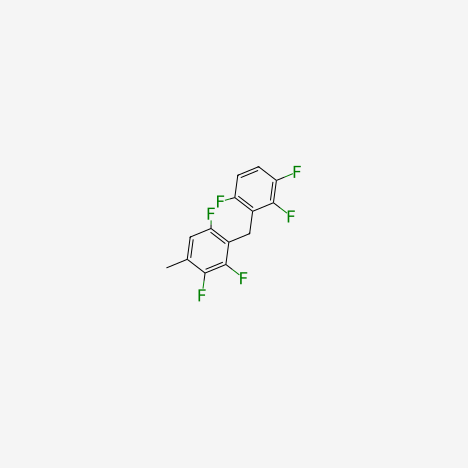 Cc1cc(F)c(Cc2c(F)ccc(F)c2F)c(F)c1F